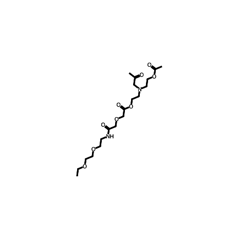 CCOCCOCCNC(=O)COCC(=O)OCCN(CCOC(C)=O)CC(C)=O